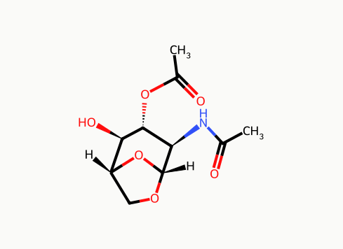 CC(=O)N[C@H]1[C@@H]2OC[C@@H](O2)[C@@H](O)[C@@H]1OC(C)=O